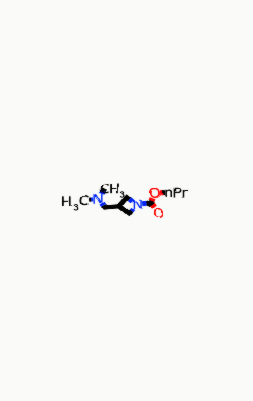 CCCOC(=O)N1CC(CN(C)C)C1